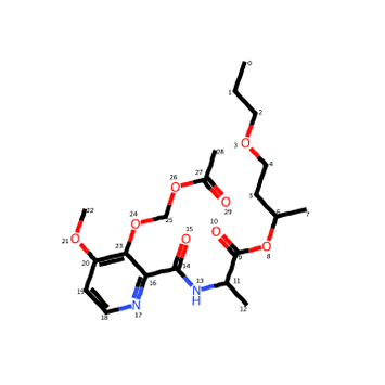 CCCOCCC(C)OC(=O)C(C)NC(=O)c1nccc(OC)c1OCOC(C)=O